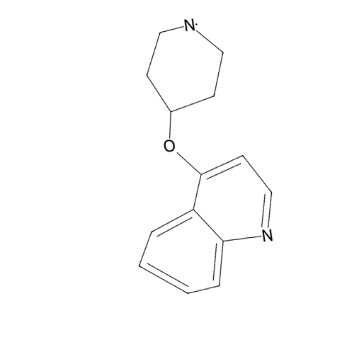 c1ccc2c(OC3CC[N]CC3)ccnc2c1